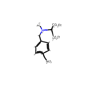 CCOC(=O)C(C(=O)OCC)N(Cc1ccc([N+](=O)[O-])cc1)C(C)=O